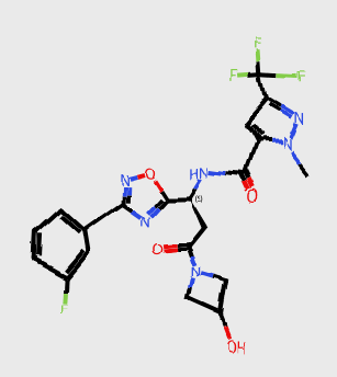 Cn1nc(C(F)(F)F)cc1C(=O)N[C@@H](CC(=O)N1CC(O)C1)c1nc(-c2cccc(F)c2)no1